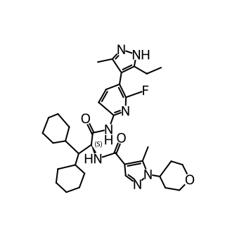 CCc1[nH]nc(C)c1-c1ccc(NC(=O)[C@@H](NC(=O)c2cnn(C3CCOCC3)c2C)C(C2CCCCC2)C2CCCCC2)nc1F